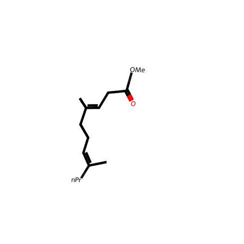 CCCC(C)=CCCC(C)=CCC(=O)OC